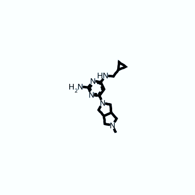 CN1CC2CN(c3cc(NCC4CC4)nc(N)n3)CC2C1